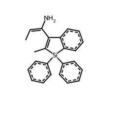 C/C=C(/N)C1=C(C)[Si](c2ccccc2)(c2ccccc2)c2ccccc21